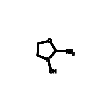 NC1OCCN1O